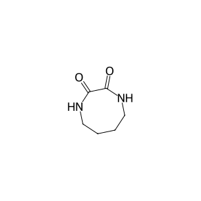 O=C1NCCCCNC1=O